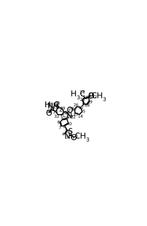 COc1ncc(-c2cccc(N(C[C@H]3CC[C@H](c4ccc(OC)c(C)c4)CC3)C(=O)C3CCC(C(N)=O)C(C)C3)c2)s1